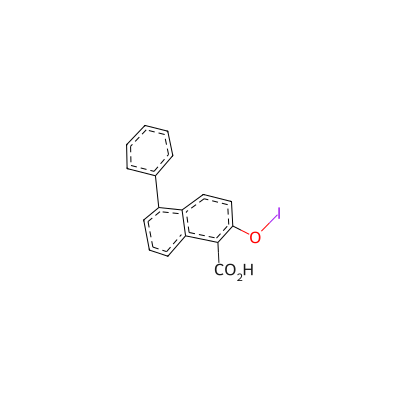 O=C(O)c1c(OI)ccc2c(-c3ccccc3)cccc12